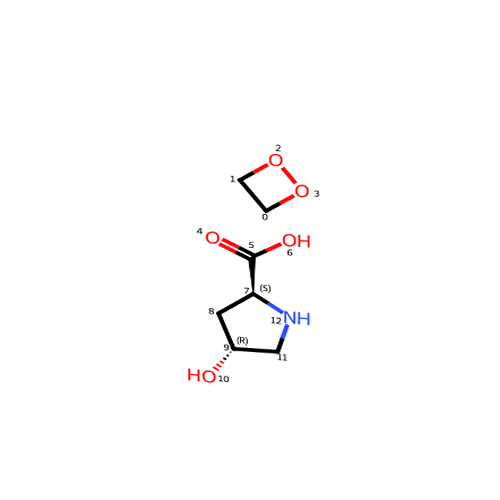 C1COO1.O=C(O)[C@@H]1C[C@@H](O)CN1